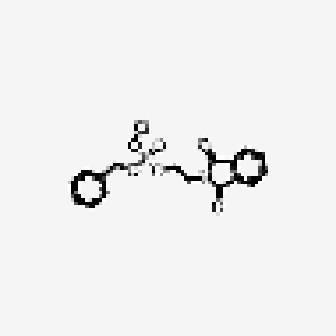 O=C1c2ccccc2C(=O)N1CCOP(=O)(OCl)OCc1ccccc1